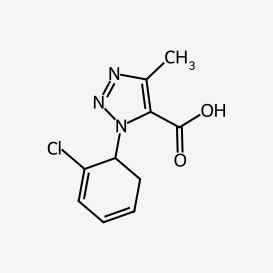 Cc1nnn(C2CC=CC=C2Cl)c1C(=O)O